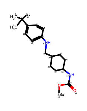 CCC(C)(C)c1ccc(NCC2CCC(NC(=O)OC(C)(C)C)CC2)cc1